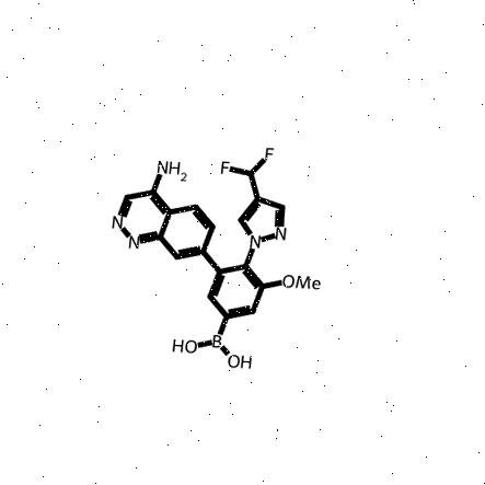 COc1cc(B(O)O)cc(-c2ccc3c(N)cnnc3c2)c1-n1cc(C(F)F)cn1